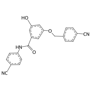 N#Cc1ccc(COc2cc(O)cc(C(=O)Nc3ccc(C#N)cc3)c2)cc1